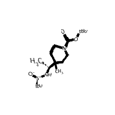 C[C@@H](N[S@+]([O-])C(C)(C)C)C1(C)CCN(C(=O)OC(C)(C)C)CC1